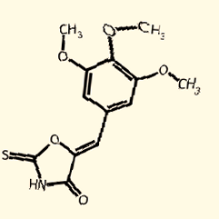 COc1cc(/C=C2\OC(=S)NC2=O)cc(OC)c1OC